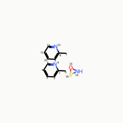 Cc1ccccn1.Cc1ccccn1.[nH]1os1